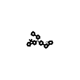 CC1(C)c2ccccc2-c2ccc(N(c3ccc(-c4cccc5c4oc4ccccc45)cc3)c3cccc(-c4ccccc4)c3)cc21